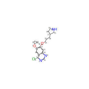 COc1cc2c(Cl)ncnc2cc1OCCCC1CCNC1